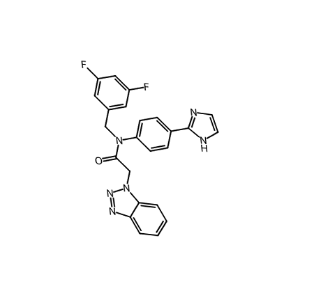 O=C(Cn1nnc2ccccc21)N(Cc1cc(F)cc(F)c1)c1ccc(-c2ncc[nH]2)cc1